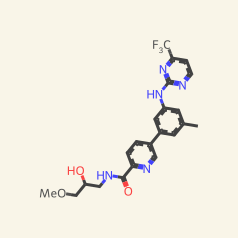 COCC(O)CNC(=O)c1ccc(-c2cc(C)cc(Nc3nccc(C(F)(F)F)n3)c2)cn1